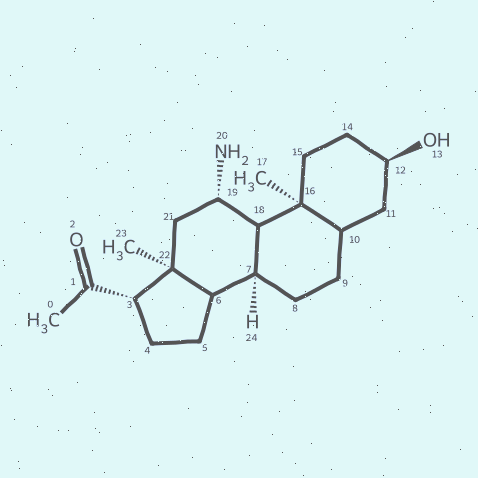 CC(=O)[C@H]1CCC2[C@@H]3CCC4C[C@H](O)CC[C@]4(C)C3[C@@H](N)C[C@@]21C